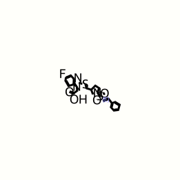 O=C(O)Cn1c(SCC2CCN(S(=O)(=O)/C=C/c3ccccc3)C2)nc2cc(F)ccc21